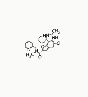 C=C1Nc2c(Cl)cc3cc(C(=O)N(C)Cc4ccccn4)oc3c2C2(CCCCC2)N1